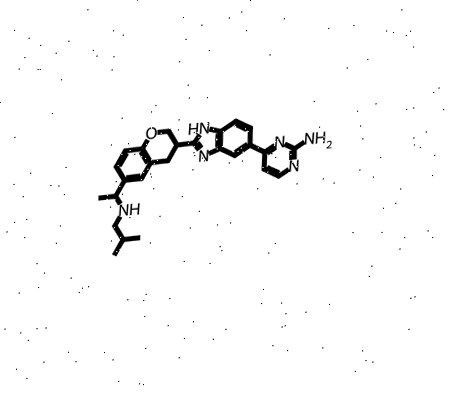 CC(C)CNC(C)c1ccc2c(c1)CC(c1nc3cc(-c4ccnc(N)n4)ccc3[nH]1)CO2